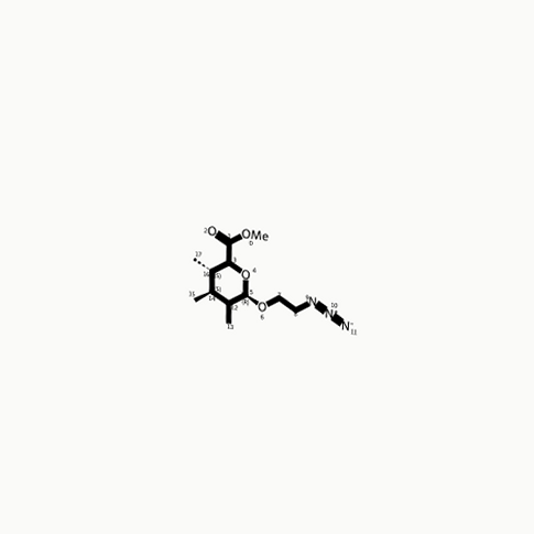 COC(=O)C1O[C@@H](OCCN=[N+]=[N-])C(C)[C@@H](C)[C@@H]1C